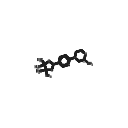 C[C@H]1CN(c2ccc(B3OC(C)(C)C(C)(C)O3)cn2)CCO1